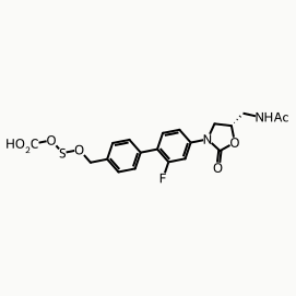 CC(=O)NC[C@H]1CN(c2ccc(-c3ccc(COSOC(=O)O)cc3)c(F)c2)C(=O)O1